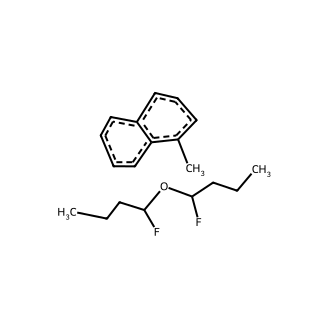 CCCC(F)OC(F)CCC.Cc1cccc2ccccc12